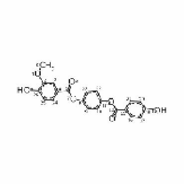 COc1cc(C(=O)Oc2ccc(OC(=O)c3ccc(O)cc3)cc2)ccc1O